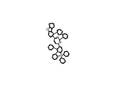 C1=CC(c2ccc3c(c2-c2ccccc2)-c2ccccc2[Si]3(c2ccccc2)c2ccccc2)N=C(c2ccccc2)N=C1c1ccc2oc3ccccc3c2c1-c1ccccc1